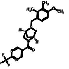 COc1ccc(CN2C[C@@H]3C[C@H]2CN3C(=O)c2cnc(C(F)(F)F)nc2)c(C)c1C